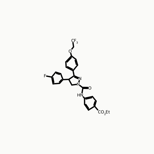 CCOC(=O)c1ccc(NC(=O)N2CC(c3ccc(F)cc3)C(c3ccc(OCC(F)(F)F)cc3)=N2)cc1